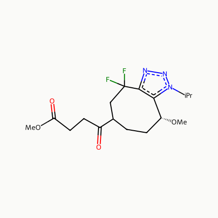 COC(=O)CCC(=O)C1CC[C@@H](OC)c2c(nnn2C(C)C)C(F)(F)C1